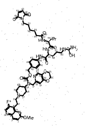 COc1ccc2ncc(F)c(CCN3CCC(N(Cc4cc5c(cn4)OCCO5)C(=O)OCc4ccc(NC(=O)[C@H](CCCNC(N)O)NC(=O)[C@@H](NC(=O)CCCCCN5C(=O)C=CC5=O)C(C)C)cc4)CC3)c2n1